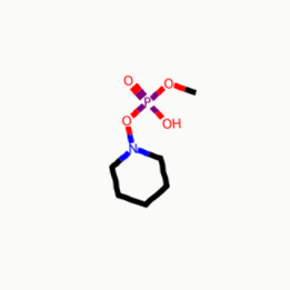 COP(=O)(O)ON1CCCCC1